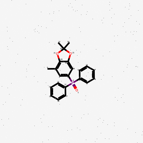 Cc1cc(P(=O)(c2ccccc2)c2ccccc2)cc2c1OC(C)(C)O2